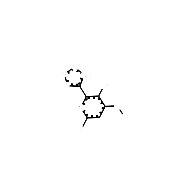 CCCCOc1cc(Br)nc(-c2nnn[nH]2)c1O